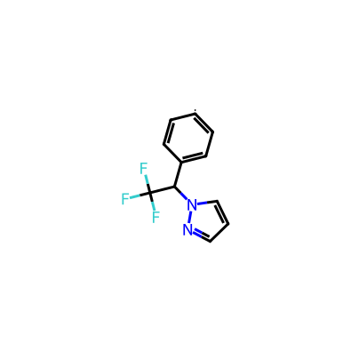 FC(F)(F)C(c1cc[c]cc1)n1cccn1